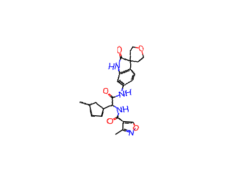 Cc1nocc1C(=O)NC(C(=O)Nc1ccc2c(c1)NC(=O)C21CCOCC1)C1CCC(C)C1